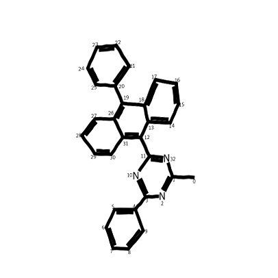 Cc1nc(-c2ccccc2)nc(-c2c3ccccc3c(-c3ccccc3)c3ccccc23)n1